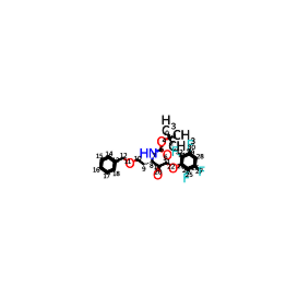 CC(C)(C)OC(=O)N[C@@H](CCOCc1ccccc1)C(=O)COc1c(F)c(F)cc(F)c1F